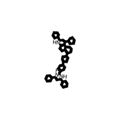 C1=C(c2ccccc2)NC(c2ccc(-c3ccc(-c4cccc5c6c(ccc45)NC(c4ccccc4)C=C6c4ccccc4)cc3)cc2)NC1c1ccccc1